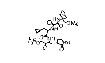 COCC1(NC(=O)C(=O)NC(CC2CC2)C(=O)NC(C[C@@H]2CCNC2=O)C(=O)COC(F)(F)F)COC1